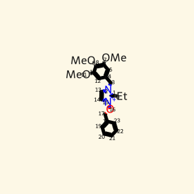 CCc1n(Cc2cc(OC)c(OC)c(OC)c2)cc[n+]1OCc1ccccc1